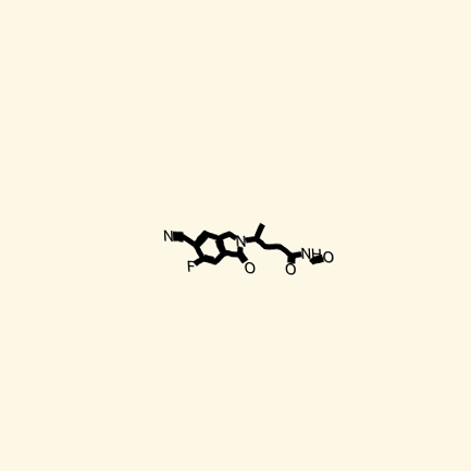 CC(CCC(=O)NC=O)N1Cc2cc(C#N)c(F)cc2C1=O